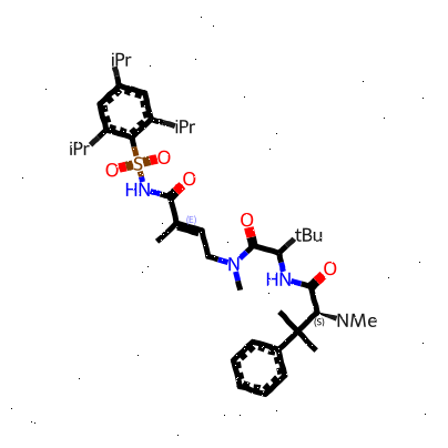 CN[C@H](C(=O)NC(C(=O)N(C)C/C=C(\C)C(=O)NS(=O)(=O)c1c(C(C)C)cc(C(C)C)cc1C(C)C)C(C)(C)C)C(C)(C)c1ccccc1